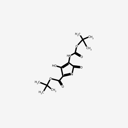 CC(C)(C)OC(=O)NC1=C(O)C(C(=O)OC(C)(C)C)=NC1=O